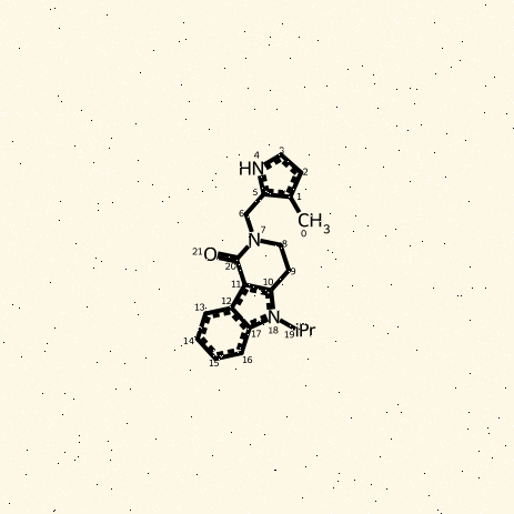 Cc1cc[nH]c1CN1CCc2c(c3ccccc3n2C(C)C)C1=O